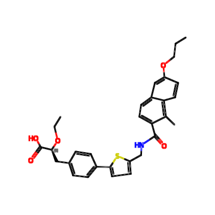 CCCOc1ccc2c(C)c(C(=O)NCc3ccc(-c4ccc(C[C@H](OCC)C(=O)O)cc4)s3)ccc2c1